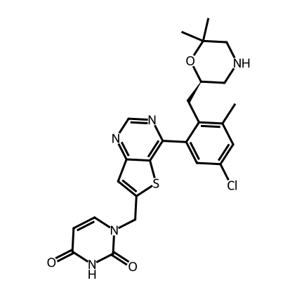 Cc1cc(Cl)cc(-c2ncnc3cc(Cn4ccc(=O)[nH]c4=O)sc23)c1C[C@@H]1CNCC(C)(C)O1